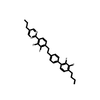 CCCCc1ccc(-c2ccc(CCc3ccc(-c4ncc(CCC)cn4)c(F)c3F)cc2)c(F)c1F